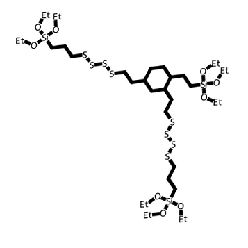 CCO[Si](CCCSSSSCCC1CCC(CC[Si](OCC)(OCC)OCC)C(CCSSSSCCC[Si](OCC)(OCC)OCC)C1)(OCC)OCC